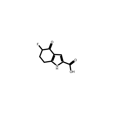 O=C(O)c1cc2c([nH]1)CCC(F)C2=O